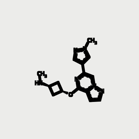 CN[C@H]1C[C@H](Oc2nc(-c3cnn(C)c3)cn3nccc23)C1